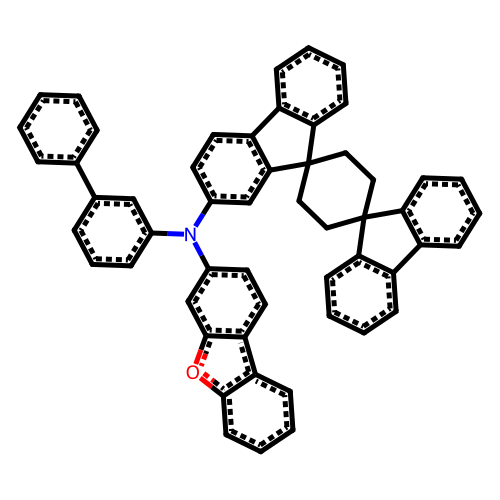 c1ccc(-c2cccc(N(c3ccc4c(c3)C3(CCC5(CC3)c3ccccc3-c3ccccc35)c3ccccc3-4)c3ccc4c(c3)oc3ccccc34)c2)cc1